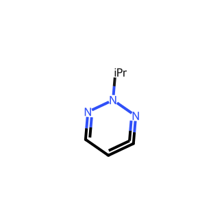 CC(C)N1N=C=CC=N1